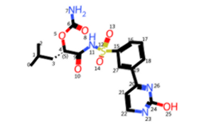 CC(C)C[C@H](OC(N)=O)C(=O)NS(=O)(=O)c1cccc(-c2ccnc(O)n2)c1